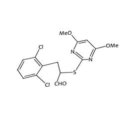 COc1cc(OC)nc(SC(C=O)Cc2c(Cl)cccc2Cl)n1